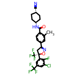 Cc1cc(C2=NO[C@](c3cc(C(F)(F)F)cc(Cl)c3F)(C(F)(F)F)C2)ccc1C(=O)N[C@H]1CC[C@@H](C#N)CC1